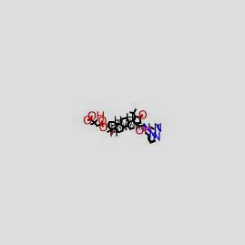 CC(C)C1=C2[C@H]3CC[C@@H]4[C@@]5(C)CC[C@@H](OC(=O)CC(C)(C)C(=O)O)C(C)(C)[C@@H]5CC[C@@]4(C)[C@]3(C)CC[C@@]2([C@@H](O)CN(CCN(C)C)Cc2cccnn2)CC1=O